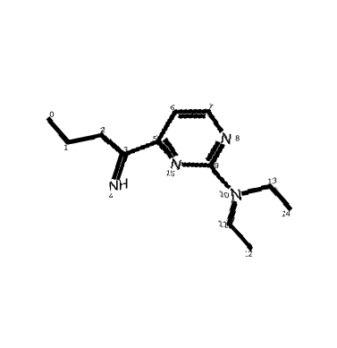 CCCC(=N)c1ccnc(N(CC)CC)n1